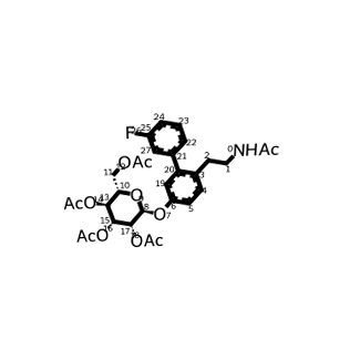 CC(=O)NCCc1ccc(O[C@@H]2O[C@@H](COC(C)=O)[C@H](OC(C)=O)[C@@H](OC(C)=O)[C@H]2OC(C)=O)cc1-c1cccc(F)c1